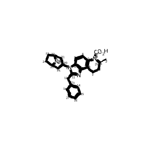 C[C@H]1CCc2c(ccc3c2nc(Cc2ccccc2)n3C2CC3CCC(C2)N3)N1C(=O)O